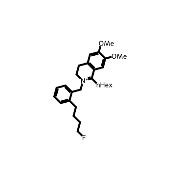 CCCCCCC1=[N+](Cc2ccccc2CCCCF)CCc2cc(OC)c(OC)cc21